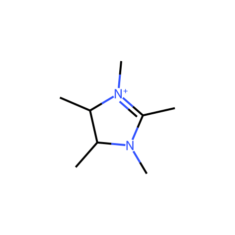 CC1=[N+](C)C(C)C(C)N1C